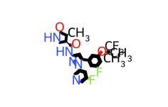 C[C@H]1C(=O)NC[C@@H]1C(=O)Nc1cc(-c2cc(F)cc(OC(C)(C)C(F)(F)F)c2)n(-c2cncc(F)c2)n1